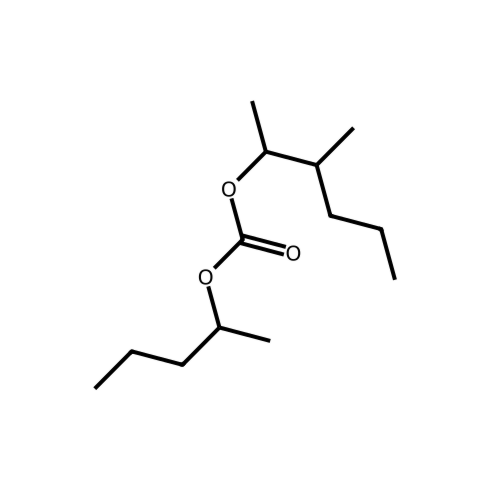 CCCC(C)OC(=O)OC(C)C(C)CCC